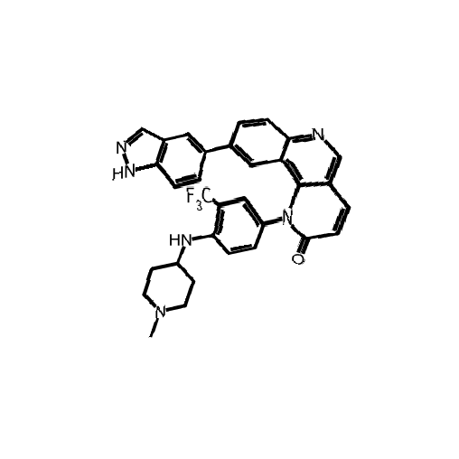 CN1CCC(Nc2ccc(-n3c(=O)ccc4cnc5ccc(-c6ccc7[nH]ncc7c6)cc5c43)cc2C(F)(F)F)CC1